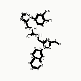 CCc1nc(CNC(=O)NCc2ncnn2-c2ccc(Cl)c(F)c2)n(-c2ccc3cccnc3c2)n1